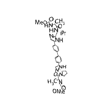 COO/C=N/[C@@H](C)C(=O)N1CCC[C@H]1c1ncc(-c2ccc(-c3ccc(-c4cnc([C@H](NC(=O)[C@H](C)NC(=O)OC)C(C)C)[nH]4)cc3)cc2)[nH]1